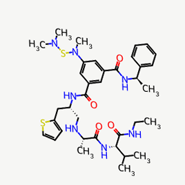 CCNC(=O)[C@@H](NC(=O)[C@H](C)NC[C@H](Cc1cccs1)NC(=O)c1cc(C(=O)N[C@H](C)c2ccccc2)cc(N(C)SN(C)C)c1)C(C)C